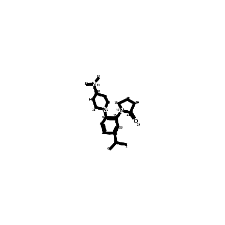 CC(C)c1ccc(N2CCC(N(C)C)CC2)c(N2CCCC2=O)c1